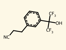 N#CCCc1cccc(C(O)(C(F)(F)F)C(F)(F)F)c1